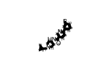 O=C(NC1CCN(CC2CC2)CC1)c1ccc(-c2cccc(F)c2)nc1